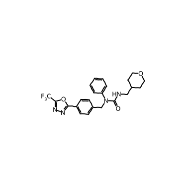 O=C(NCC1CCOCC1)N(Cc1ccc(-c2nnc(C(F)(F)F)o2)cc1)c1ccccc1